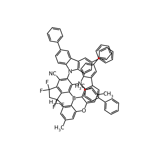 Cc1cc(C)c2c(c1)Oc1cc(C)cc(C)c1B2c1c(-n2c3ccc(-c4ccccc4)cc3c3cc(-c4ccccc4)ccc32)c(-n2c3ccc(-c4ccccc4)cc3c3cc(-c4ccccc4)ccc32)c(C#N)c2c1C(F)(F)CC2(F)F